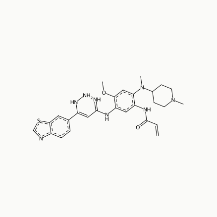 C=CC(=O)Nc1cc(NC(=N)/C=C(\NN)c2ccc3ncsc3c2)c(OC)cc1N(C)C1CCN(C)CC1